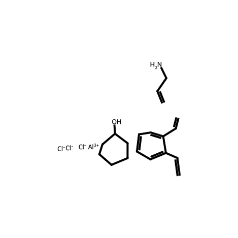 C=CCN.C=Cc1ccccc1C=C.OC1CCCCC1.[Al+3].[Cl-].[Cl-].[Cl-]